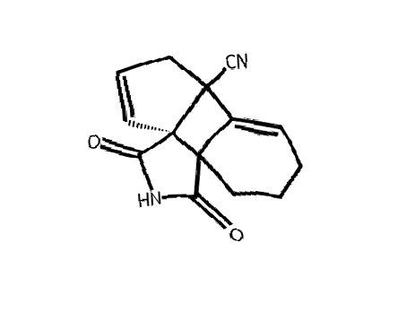 N#CC12CC=C[C@]13C(=O)NC(=O)C31CCCC=C21